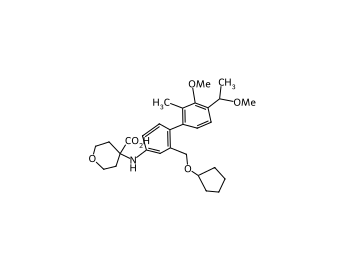 COc1c(C(C)OC)ccc(-c2ccc(NC3(C(=O)O)CCOCC3)cc2COC2CCCC2)c1C